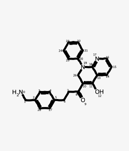 NCc1ccc(CCC(=O)C2=C(O)c3cccnc3N(c3ccccc3)C2)cc1